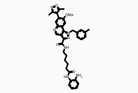 COc1cc2c(cc1-c1c(C)noc1C)ncc1c(C(=O)NCCCCCC(=O)Nc3ccccc3N)nn(Cc3cccc(C)c3)c12